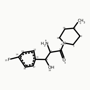 CC1CCN(C(=O)C(N)C(O)c2ccc(F)cc2)CC1